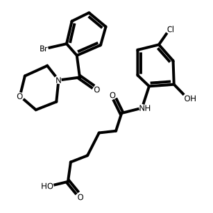 O=C(O)CCCCC(=O)Nc1ccc(Cl)cc1O.O=C(c1ccccc1Br)N1CCOCC1